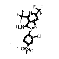 CS(=O)(=O)c1ccc(-n2nc3cc(C(F)(F)F)nc(C(F)(F)F)c3c2N)c(Cl)c1